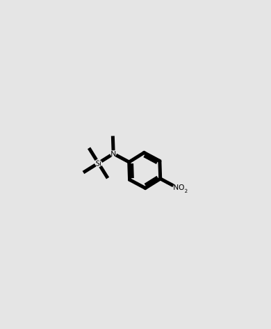 CN(c1ccc([N+](=O)[O-])cc1)[Si](C)(C)C